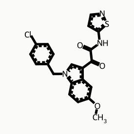 COc1ccc2c(c1)c(C(=O)C(=O)Nc1ccns1)cn2Cc1ccc(Cl)cc1